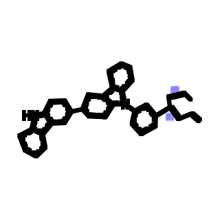 C=C/C=C(\C=C/C)c1cccc(-n2c3ccccc3c3cc(-c4ccc5[nH]c6ccccc6c5c4)ccc32)c1